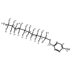 Oc1ccc(OCC(F)(F)C(F)(F)C(F)(F)C(F)(F)C(F)(F)C(F)(F)C(F)(F)C(F)(F)C(F)(F)C(F)(F)F)cc1